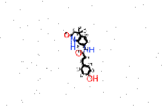 CC1(C)CC(=O)Nc2cc(NC(=O)/C=C/c3ccc(O)cc3)ccc21